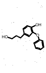 OCCCc1ccc(O)c(Oc2ccccc2)c1